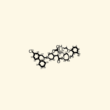 CCOc1cccc(F)c1CN1CCN(C(=O)C(NC(=O)O)C2CCN(CCc3cc(Cl)ccc3-c3ccccc3)CC2)CC1